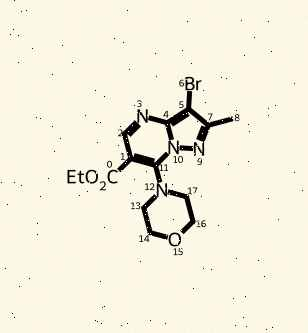 CCOC(=O)c1cnc2c(Br)c(C)nn2c1N1CCOCC1